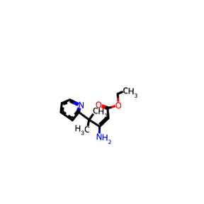 CCOC(=O)/C=C(/N)C(C)(C)c1ccccn1